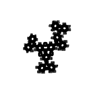 c1ccc2c(c1)c1ccccc1n2-c1cc2c3c(c1)Oc1cc(-n4c5ccccc5c5cc(-n6c7ccccc7c7ccccc76)ccc54)cc4c1B3c1c(cc(-n3c5ccccc5c5ccccc53)cc1O4)O2